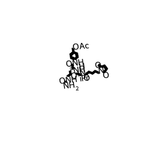 CC(=O)OCc1ccc(NC(=O)[C@@H](CCCNC(N)=O)NC(=O)[C@H](NC(=O)CCCCN2C(=O)C=CC2=O)C(C)C)cc1